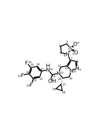 O=S1(=O)CCCN1c1cnn2c1CN(C(O)Nc1cc(F)c(F)c(F)c1)[C@@H](C1CC1)C2